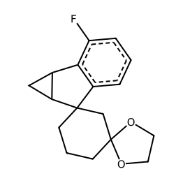 Fc1cccc2c1C1CC1C21CCCC2(C1)OCCO2